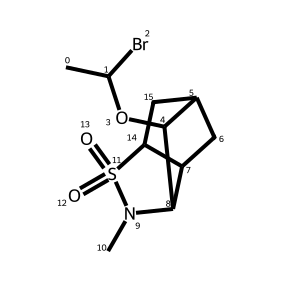 CC(Br)OC1C2CC3C1N(C)S(=O)(=O)C3C2